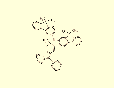 CC1(C)c2ccccc2-c2cc(N(c3ccc4c(c3)C(C)(C)c3ccccc3-4)C3(C)C=Cc4c(c5ccccc5n4-c4ccccc4)C3)ccc21